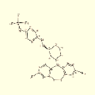 Fc1ccc2c(c1)CCc1cc(F)ccc1N2C1CCC[C@H](NSc2ccc(OC(F)(F)F)cc2)C1